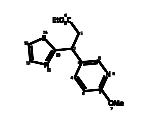 CCOC(=O)CC(c1ccc(OC)nc1)c1nccs1